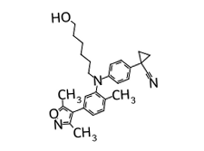 Cc1ccc(-c2c(C)noc2C)cc1N(CCCCCCO)c1ccc(C2(C#N)CC2)cc1